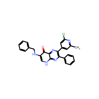 Cc1cc(-c2nc3c(=O)c(NCc4ccccc4)c[nH]c3nc2-c2ccccc2)cc(Cl)n1